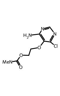 CNC(=O)OCCOc1c(N)ncnc1Cl